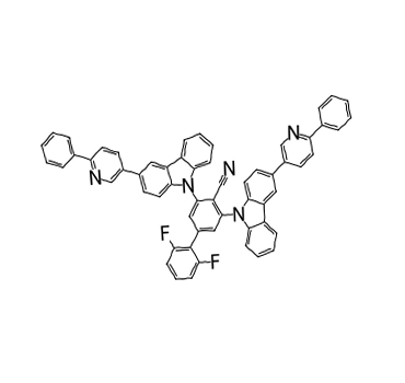 N#Cc1c(-n2c3ccccc3c3cc(-c4ccc(-c5ccccc5)nc4)ccc32)cc(-c2c(F)cccc2F)cc1-n1c2ccccc2c2cc(-c3ccc(-c4ccccc4)nc3)ccc21